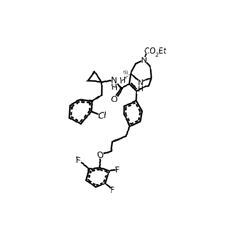 CCOC(=O)N1CC2CC(c3ccc(CCCOc4c(F)ccc(F)c4F)cc3)=C(C(=O)NC3(Cc4ccccc4Cl)CC3)[C@@H](C1)N2